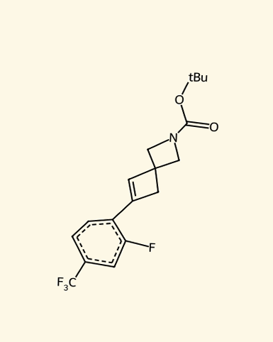 CC(C)(C)OC(=O)N1CC2(C=C(c3ccc(C(F)(F)F)cc3F)C2)C1